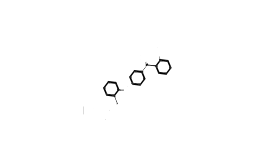 Cc1ccccc1C(=O)c1ccc(Oc2ccccc2CC(=O)O)cc1